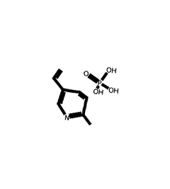 C=Cc1ccc(C)nc1.O=P(O)(O)O